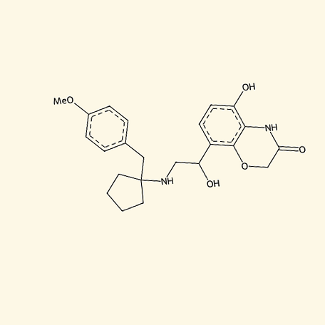 COc1ccc(CC2(NCC(O)c3ccc(O)c4c3OCC(=O)N4)CCCC2)cc1